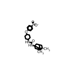 C[C@]12CC3CC(NC(=O)NC4CCC(Oc5ccc([N+](=O)[O-])cc5)CC4)(C1)C[C@@](C)(C3)C2